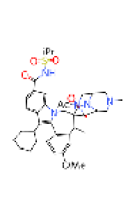 COc1ccc2c(c1)C(C)C(C)(C(=O)N1C3CN(C)CC1CN(C(C)=O)C3)Cn1c-2c(C2CCCCC2)c2ccc(C(=O)NS(=O)(=O)C(C)C)cc21